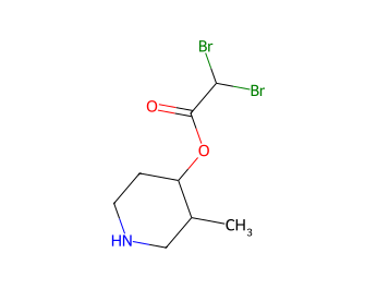 CC1CNCCC1OC(=O)C(Br)Br